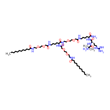 CCCCCCCCCCCC(=O)NCCOCCOCC(=O)NCCCCC(NC(=O)COCCOCCNC(=O)CCCCCCCCCCC)C(=O)NCCOCCOCC(=O)NCCCCC(NC(=O)[C@H](CCCNC(=N)N)NC(=O)C(C)(C)N)C(N)=O